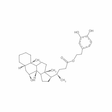 C[C@H](CCC(=O)OCCc1ccc(O)c(O)c1)[C@H]1CCC2[C@H]3C(CC[C@@]21C)[C@@]1(C)CCCC[C@H]1C[C@@H]3O